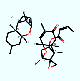 C/C=C\C(=O)OC1C[C@H]2O[C@@H]3C=C(C)C(=O)C[C@]3(C)[C@]1(C)C21CO1.CC1CC[C@@]2(C)[C@@H](C1)OC1=CC[C@@]2(C)[C@@H]1C